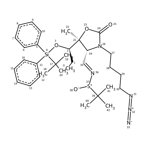 CC[C@@H](O[Si](c1ccccc1)(c1ccccc1)C(C)(C)C)[C@@]1(C)OC(=O)N(CCCCN=[N+]=[N-])[C@@H]1/C=N/[S+]([O-])C(C)(C)C